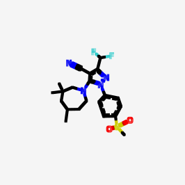 CC1CCN(c2c(C#N)c(C(F)F)nn2-c2ccc(S(C)(=O)=O)cc2)CC(C)(C)C1